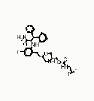 NC(=O)[C@@H](Nc1cc(F)ccc1CC[C@@H]1CN[C@H](COC(=O)NCC(F)F)CO1)C(c1ccccc1)c1ccccc1